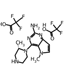 C[C@H]1CNCCN1c1nc(N)nc2ccn(C)c12.O=C(O)C(F)(F)F.O=C(O)C(F)(F)F